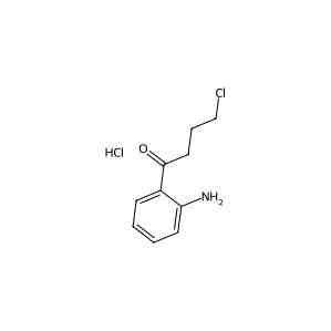 Cl.Nc1ccccc1C(=O)CCCCl